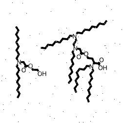 CCCCCCCCCN(CCCCCCCCC)CC(=O)OCCO.CCCCCCCCCN(CCCCCCCCC)CCN(CCCCCCCCC)CC(=O)OCCC(C(=O)O)N(CCCCCCCCC)CCCCCCCCC